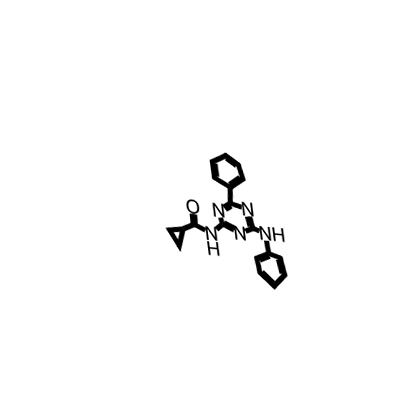 O=C(Nc1nc(Nc2ccccc2)nc(-c2ccccc2)n1)C1CC1